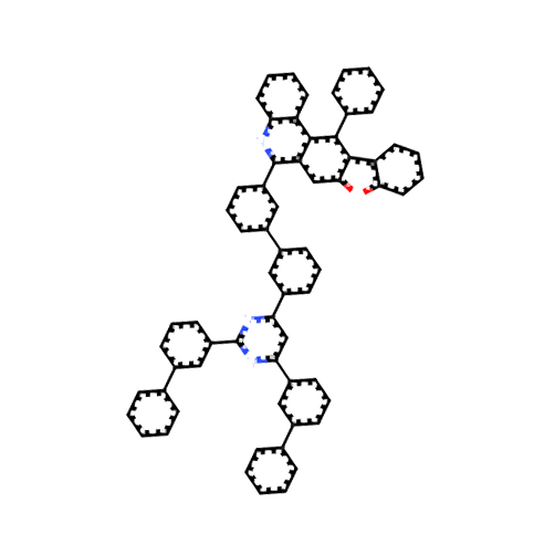 c1ccc(-c2cccc(-c3cc(-c4cccc(-c5cccc(-c6nc7ccccc7c7c(-c8ccccc8)c8c(cc67)oc6ccccc68)c5)c4)nc(-c4cccc(-c5ccccc5)c4)n3)c2)cc1